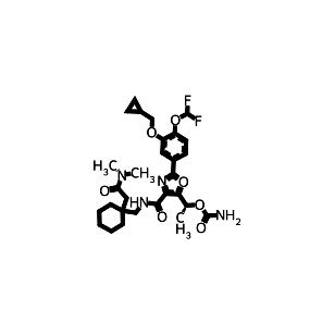 C[C@H](OC(N)=O)c1oc(-c2ccc(OC(F)F)c(OCC3CC3)c2)nc1C(=O)NCC1(CC(=O)N(C)C)CCCCC1